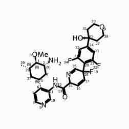 CO[C@H]1[C@H](N)C[C@H](c2ccncc2NC(=O)C2C=CC(F)(c3c(F)cc(C4(O)CCOCC4)cc3F)C=N2)C[C@@H]1C